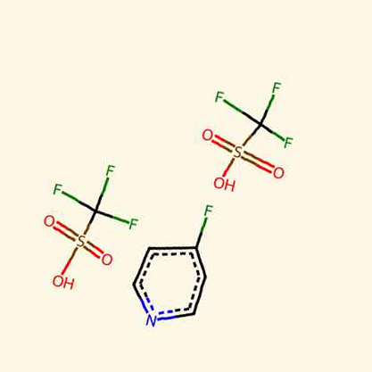 Fc1ccncc1.O=S(=O)(O)C(F)(F)F.O=S(=O)(O)C(F)(F)F